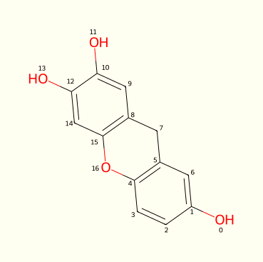 Oc1ccc2c(c1)Cc1cc(O)c(O)cc1O2